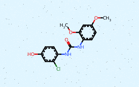 COc1ccc(NC(=O)Nc2ccc(O)cc2Cl)c(OC)c1